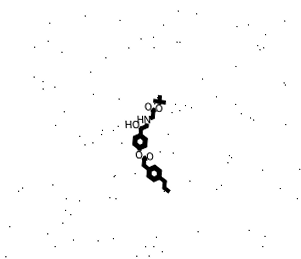 CCCc1ccc(CC(=O)Oc2ccc(C(O)CNCC(=O)OC(C)(C)C)cc2)cc1